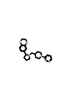 c1cnnc(N2CCC(CN3CCCC3c3ccc4c(c3)OCCO4)CC2)c1